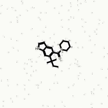 CCC(C)(C)c1cc2[nH]ccc2cc1C(=O)N1CCCCC1